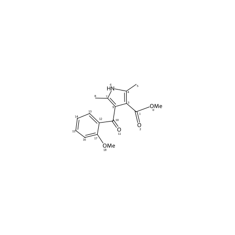 COC(=O)c1c(C)[nH]c(C)c1C(=O)c1ccccc1OC